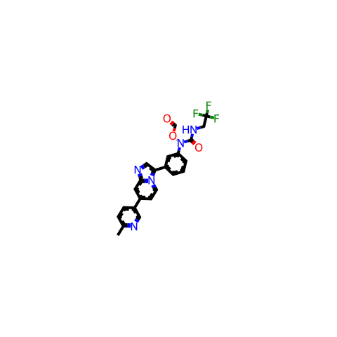 Cc1ccc(-c2ccn3c(-c4cccc(N(OC=O)C(=O)NCC(F)(F)F)c4)cnc3c2)cn1